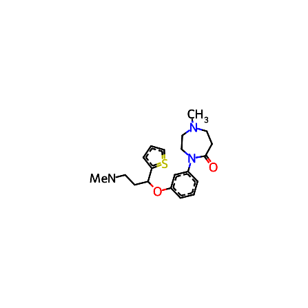 CNCCC(Oc1cccc(N2CCN(C)CCC2=O)c1)c1cccs1